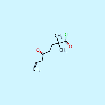 C=CCC(=O)CCC(C)(C)C(=O)Cl